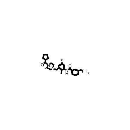 Cc1c(CN2CCN(C(=O)C3CCCC3)[C@@H](C)C2)cc(F)cc1NC(=O)c1cccc(CP)c1